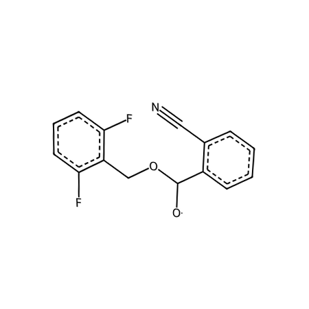 N#Cc1ccccc1C([O])OCc1c(F)cccc1F